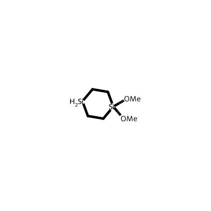 CO[Si]1(OC)CC[SiH2]CC1